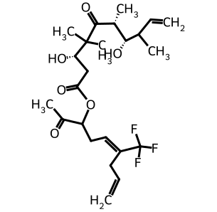 C=CC/C(=C\CC(OC(=O)C[C@H](O)C(C)(C)C(=O)[C@H](C)[C@@H](O)C(C)C=C)C(C)=O)C(F)(F)F